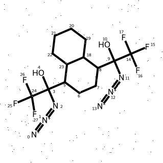 [N-]=[N+]=NC(O)(C1CCC(C(O)(N=[N+]=[N-])C(F)(F)F)C2CCCCC21)C(F)(F)F